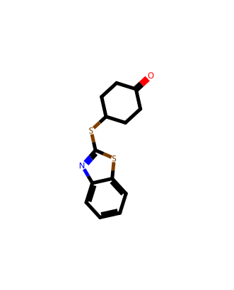 O=C1CCC(Sc2nc3ccccc3s2)CC1